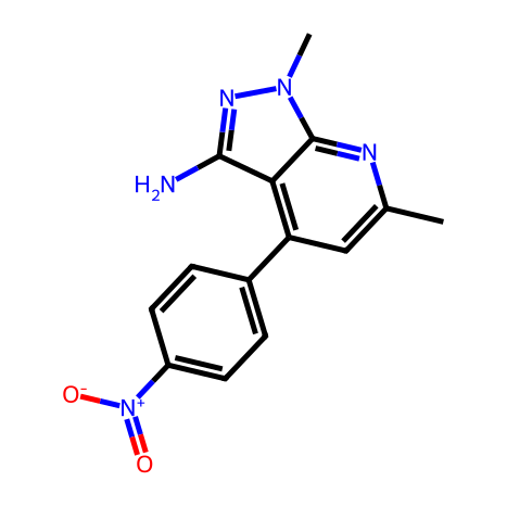 Cc1cc(-c2ccc([N+](=O)[O-])cc2)c2c(N)nn(C)c2n1